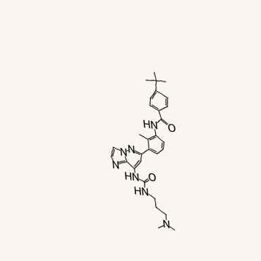 Cc1c(NC(=O)c2ccc(C(C)(C)C)cc2)cccc1-c1cc(NC(=O)NCCCN(C)C)c2nccn2n1